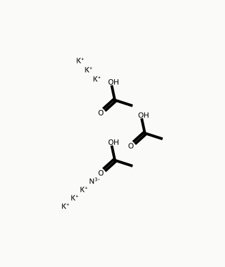 CC(=O)O.CC(=O)O.CC(=O)O.[K+].[K+].[K+].[K+].[K+].[K+].[N-3]